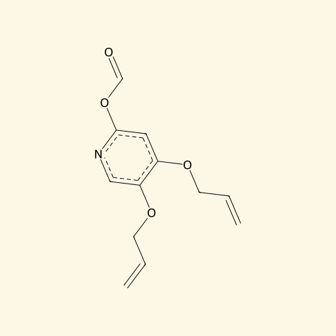 C=CCOc1cnc(OC=O)cc1OCC=C